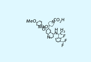 COc1ccc(COc2cc3nccc(NC(C)c4cccc(C(F)F)c4F)c3cc2C2(OC)CCN(C(=O)O)CC2)cc1